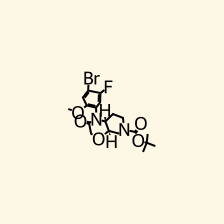 COc1cc(Br)c(F)cc1N1C(=O)CO[C@@H]2CN(C(=O)OC(C)(C)C)CC[C@H]21